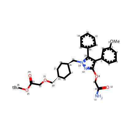 COc1cccc(-c2c(OCC(N)=O)nn(C[C@H]3CC[C@H](COCC(=O)OC(C)(C)C)CC3)c2-c2ccccc2)c1